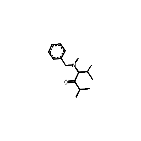 CC(C)C(=O)C(C(C)C)N(C)Cc1ccccc1